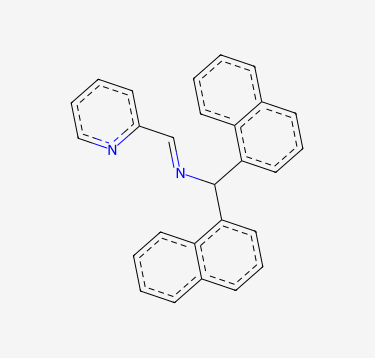 C(=N\C(c1cccc2ccccc12)c1cccc2ccccc12)/c1ccccn1